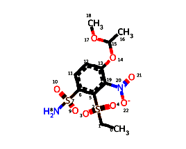 CCS(=O)(=O)c1c(S(N)(=O)=O)ccc(OC(C)OC)c1[N+](=O)[O-]